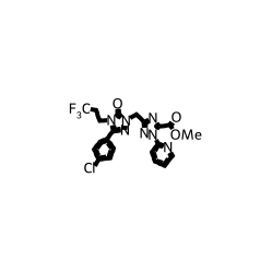 COC(=O)c1nc(Cn2nc(-c3ccc(Cl)cc3)n(CCC(F)(F)F)c2=O)nn1-c1ccccn1